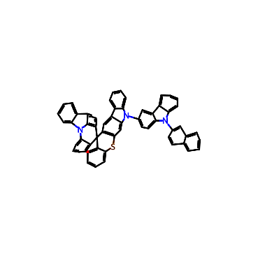 c1ccc2c(c1)Sc1cc3c(cc1C21c2ccccc2-n2c4ccccc4c4cccc1c42)c1ccccc1n3-c1ccc2c(c1)c1ccccc1n2-c1ccc2ccccc2c1